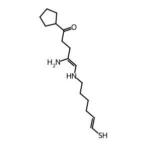 N/C(=C\NCCCC/C=C/S)CCC(=O)C1CCCC1